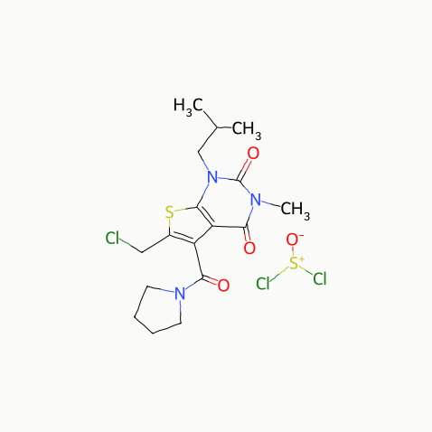 CC(C)Cn1c(=O)n(C)c(=O)c2c(C(=O)N3CCCC3)c(CCl)sc21.[O-][S+](Cl)Cl